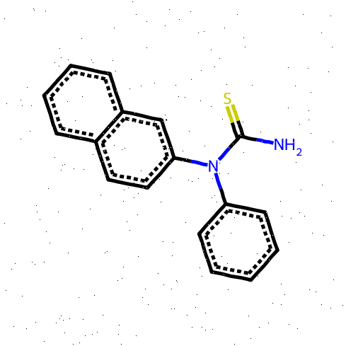 NC(=S)N(c1[c]c2ccccc2cc1)c1ccccc1